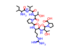 CCC(C)C(N)C(=O)NC(C(=O)NC(C(=O)N1CCCC1C(=O)NC(CCCNC(=N)N)C(=O)NC(C(=O)N1CCCC1C(=O)O)C(C)O)C(C)O)C(C)C